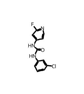 O=C(Nc1cccc(Cl)c1)Nc1ccnc(F)c1